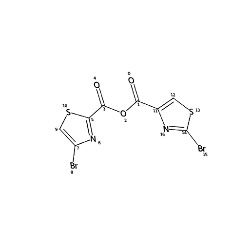 O=C(OC(=O)c1nc(Br)cs1)c1csc(Br)n1